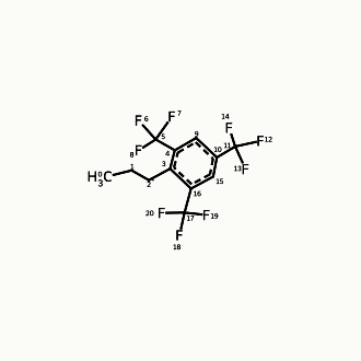 CC[CH]c1c(C(F)(F)F)cc(C(F)(F)F)cc1C(F)(F)F